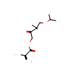 C=C(C)C(=O)OCC(=O)C(C)(C)COC(C(F)(F)F)C(F)(F)F